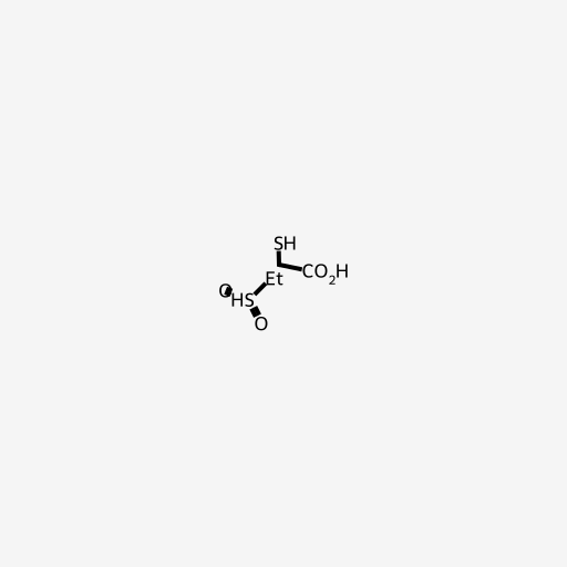 CC[SH](=O)=O.O=C(O)CS